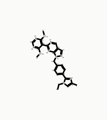 CCn1cc(C)nc1-c1ccc(Cn2ncc3cnc(-c4c(OC)ncnc4OC)nc32)cc1